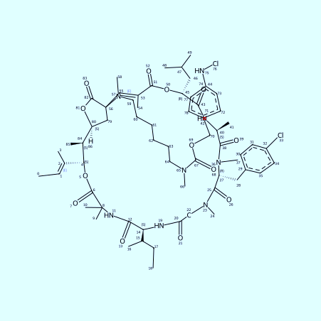 C/C=C(\C)[C@H]1OC(=O)C(C)(C)NC(=O)[C@H](C(C)CC)NC(=O)CN(C)C(=O)[C@@H](Cc2ccc(Cl)cc2)N(C)C(=O)[C@H](C)NC(=O)[C@@H](CC(C)C)OC(=O)/C(C)=C/C2(N(C)CCCCCCN(C)C(=O)OCc3ccc(NCl)cc3)C[C@H](OC2=O)[C@@H]1C